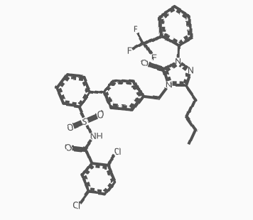 CCCCc1nn(-c2ccccc2C(F)(F)F)c(=O)n1Cc1ccc(-c2ccccc2S(=O)(=O)NC(=O)c2cc(Cl)ccc2Cl)cc1